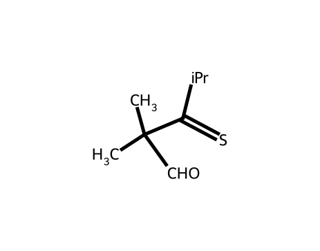 CC(C)C(=S)C(C)(C)C=O